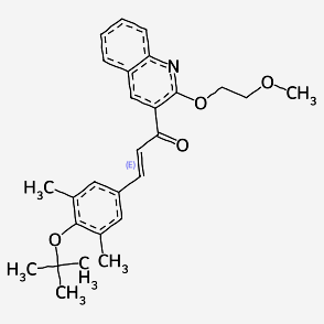 COCCOc1nc2ccccc2cc1C(=O)/C=C/c1cc(C)c(OC(C)(C)C)c(C)c1